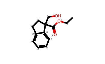 CCOC(=O)C1(CO)CCc2ccccc21